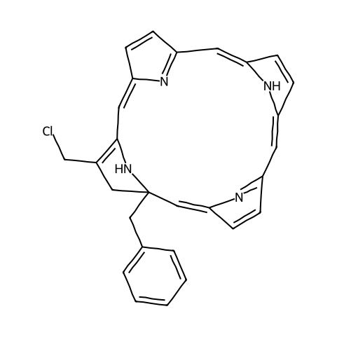 ClCC1=C2C=C3C=CC(=N3)C=c3ccc([nH]3)=CC3=NC(=CC(Cc4ccccc4)(C1)N2)C=C3